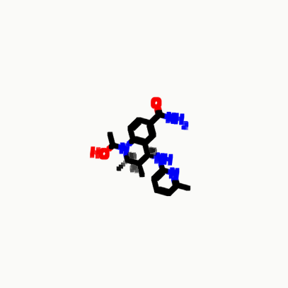 Cc1cccc(N[C@H]2c3cc(C(N)=O)ccc3N(C(C)O)[C@@H](C)[C@@H]2C)n1